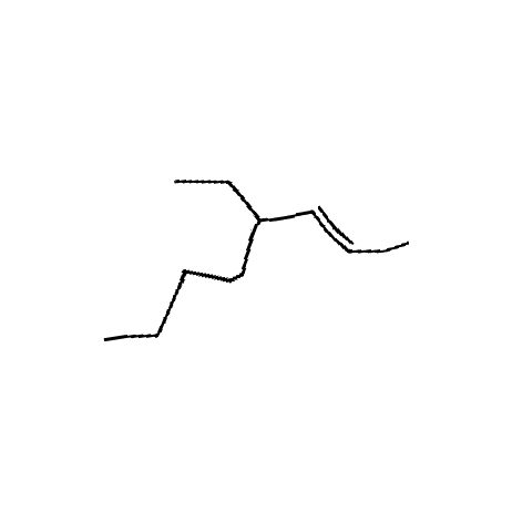 CC=CC(CC)CCCC